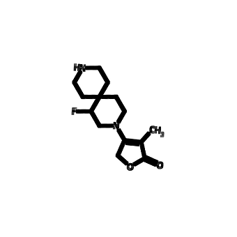 CC1=C(N2CCC3(CCNCC3)C(F)C2)COC1=O